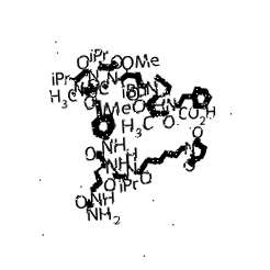 CC[C@H](C)[C@@H]([C@@H](CC(=O)N1CCC[C@H]1[C@H](OC)[C@@H](C)C(=O)N[C@@H](Cc1ccccc1)C(=O)O)OC)N(C)C(=O)[C@@H](NC(=O)[C@H](C(C)C)N(C)C(=O)OCc1ccc(NC(=O)[C@H](CCCNC(N)=O)NC(=O)[C@@H](NC(=O)CCCCCN2C(=O)CCC2=O)C(C)C)cc1)C(C)C